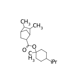 CC(C)C1CCC(C)(OC(=O)C2CC3CC2C(C)C3C)CC1